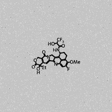 CC[C@@]1(O)C(=O)OCc2c1cc1n(c2=O)Cc2c-1nc1cc(F)c(OC)c3c1c2C(NC(=O)C(O)C(F)(F)F)CC3